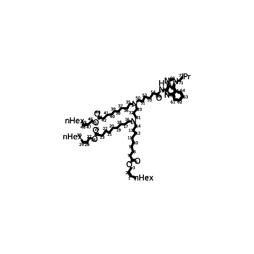 CCCCCC/C=C\COC(=O)CCCCCCCCN(CCCCCCCCC(=O)OC/C=C\CCCCCC)CCCN(CCCCCCCCC(=O)OC/C=C\CCCCCC)CCCCCC(=O)Nc1nc2ccccc2c2c1ncn2CC(C)C